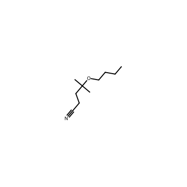 CCCCOC(C)(C)CCC#N